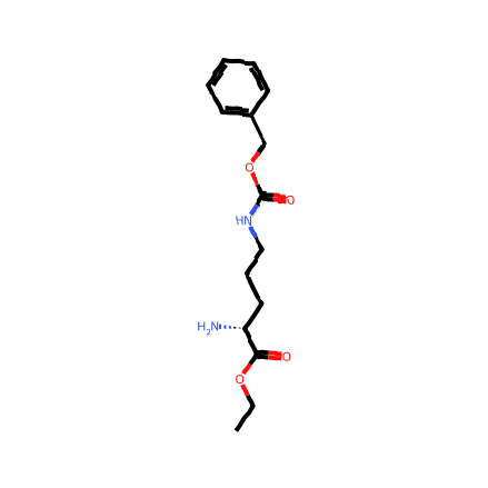 CCOC(=O)[C@H](N)CCCNC(=O)OCc1ccccc1